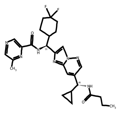 CCCC(=O)N[C@@H](c1cnn2cc([C@@H](NC(=O)c3cncc(C)n3)C3CCC(F)(F)CC3)nc2c1)C1CC1